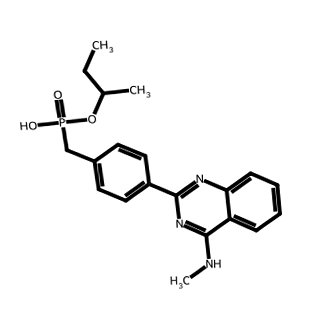 CCC(C)OP(=O)(O)Cc1ccc(-c2nc(NC)c3ccccc3n2)cc1